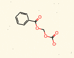 [O]C(=O)OCOC(=O)c1ccccc1